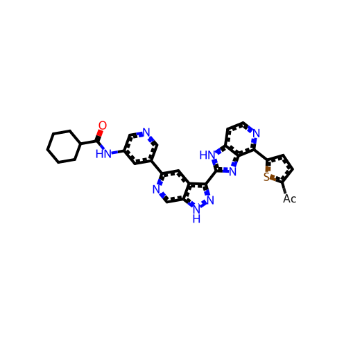 CC(=O)c1ccc(-c2nccc3[nH]c(-c4n[nH]c5cnc(-c6cncc(NC(=O)C7CCCCC7)c6)cc45)nc23)s1